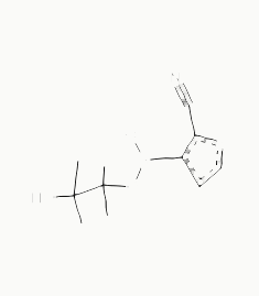 CC(C)(O)C(C)(C)OB(O)c1ccsc1C#N